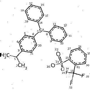 CC(C)c1ccc([S+](c2ccccc2)c2ccccc2)cc1.O=S(=O)([O-])c1ccccc1C(F)(F)F